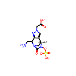 NCC1c2nn(CC(=O)O)cc2[C@H]2CN1C(=O)N2OS(=O)(=O)O